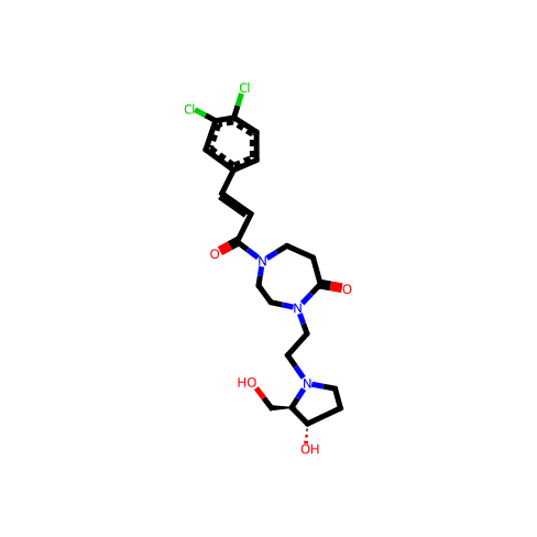 O=C(/C=C/c1ccc(Cl)c(Cl)c1)N1CCC(=O)N(CCN2CC[C@H](O)[C@H]2CO)CC1